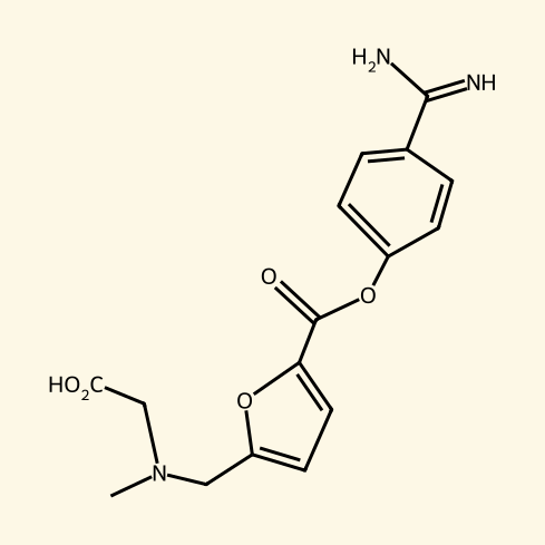 CN(CC(=O)O)Cc1ccc(C(=O)Oc2ccc(C(=N)N)cc2)o1